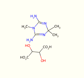 CN1C(N)=NC(C)(C)N=C1N.O=C(O)C(O)C(O)C(=O)O